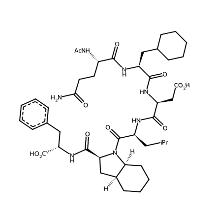 CC(=O)N[C@@H](CCC(N)=O)C(=O)N[C@@H](CC1CCCCC1)C(=O)N[C@@H](CC(=O)O)C(=O)N[C@@H](CC(C)C)C(=O)N1[C@H](C(=O)N[C@@H](Cc2ccccc2)C(=O)O)C[C@@H]2CCCC[C@@H]21